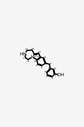 Oc1cccc(Cc2ccc3c(c2)cc2n3CCNCC2)c1